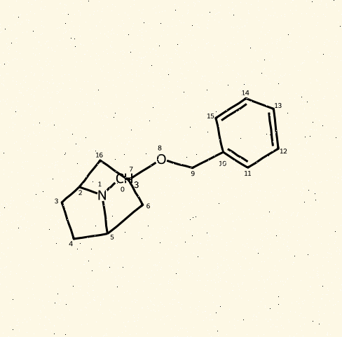 CN1C2CCC1CC(OCc1ccccc1)C2